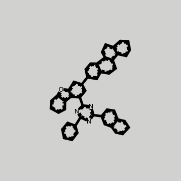 c1ccc(-c2nc(-c3ccc4ccccc4c3)nc(-c3cc(-c4ccc5c(ccc6c7ccccc7ccc56)c4)cc4oc5ccccc5c34)n2)cc1